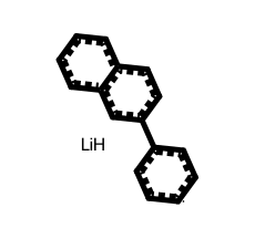 [LiH].[c]1ccc(-c2ccc3ccccc3c2)cc1